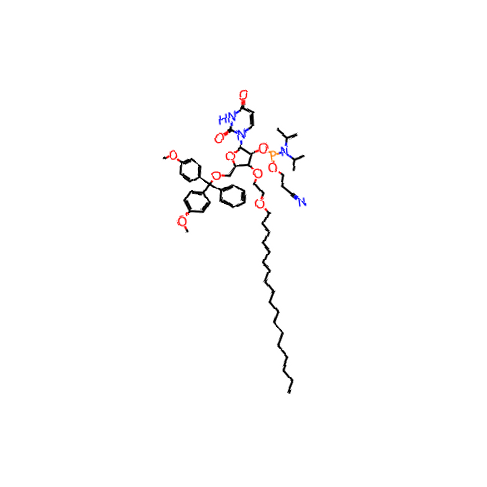 CCCCCCCCCCCCCCCCCCOCCOC1C(OP(OCCC#N)N(C(C)C)C(C)C)[C@H](n2ccc(=O)[nH]c2=O)O[C@@H]1COC(c1ccccc1)(c1ccc(OC)cc1)c1ccc(OC)cc1